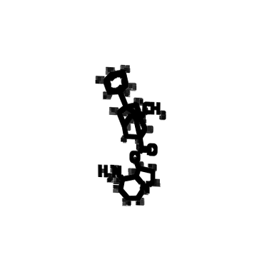 CC12CC3CC(C(=O)OC4CCN5CCCC(N)C45)(C1)CC(c1ccccc1)(C3)C2